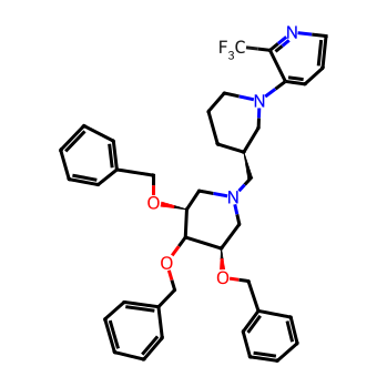 FC(F)(F)c1ncccc1N1CCC[C@H](CN2C[C@H](OCc3ccccc3)C(OCc3ccccc3)[C@H](OCc3ccccc3)C2)C1